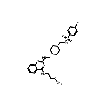 COCCNc1nc(NC[C@H]2CC[C@H](CNS(=O)(=O)c3ccc(Cl)cc3)CC2)nc2ccccc12